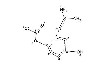 N=C(N)N.O=[N+]([O-])Oc1ccc(O)cc1